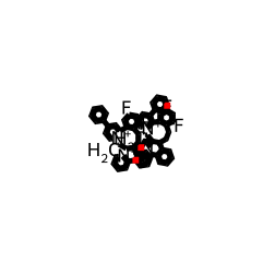 C=C1C2[n+]3ccccc3-c3ccccc3C2(CCC23C(=C)[n+]4cccc(-c5ccccc5)c4-c4cc(F)cc(F)c4CCC2c2ccccc2-c2cccc[n+]23)CCc2c(F)cc(F)cc2-c2cc(-c3ccccc3)cc[n+]21